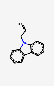 C=CC[N+]1c2[c]cccc2-c2ccccc21